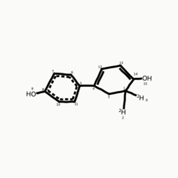 [2H]C1([2H])CC(c2ccc(O)cc2)=CC=C1O